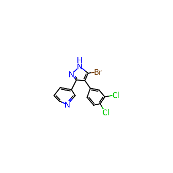 Clc1ccc(-c2c(-c3cccnc3)n[nH]c2Br)cc1Cl